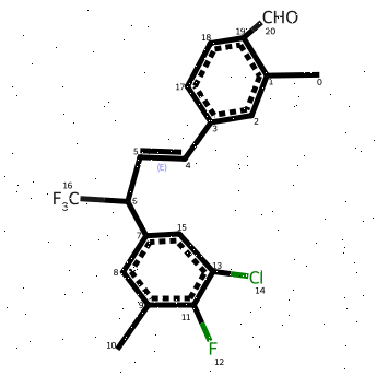 Cc1cc(/C=C/C(c2cc(C)c(F)c(Cl)c2)C(F)(F)F)ccc1C=O